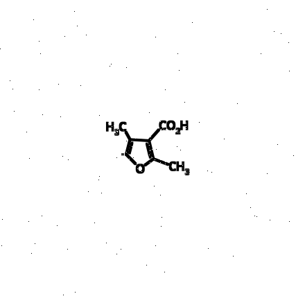 Cc1[c]oc(C)c1C(=O)O